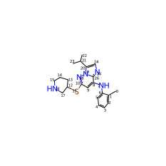 Cc1ccccc1Nc1cc(SC2CCCNC2)nn2c(C(C)C)cnc12